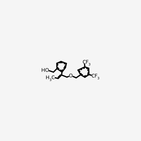 CC=C(COCc1cc(C(F)(F)F)cc(C(F)(F)F)c1)c1ccccc1CO